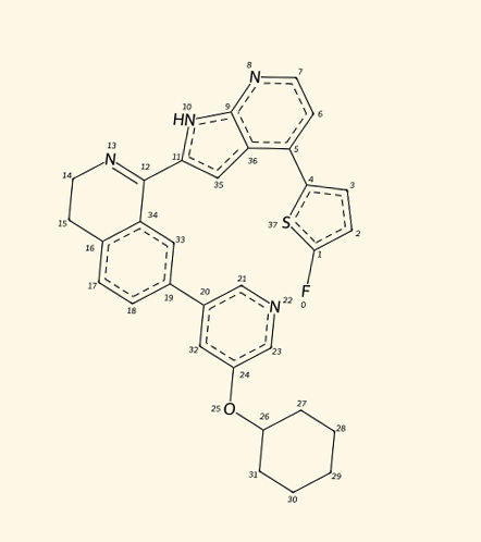 Fc1ccc(-c2ccnc3[nH]c(C4=NCCc5ccc(-c6cncc(OC7CCCCC7)c6)cc54)cc23)s1